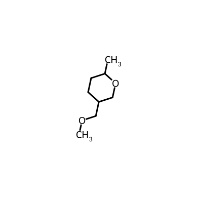 COCC1CCC(C)OC1